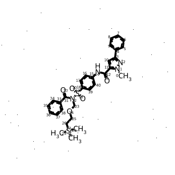 Cn1nc(-c2ccccc2)cc1C(=O)Nc1ccc(S(=O)(=O)N(COCC[Si](C)(C)C)C(=O)c2ccccc2)cc1